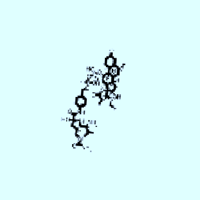 CCC(=O)O[C@]1(C(=O)SCF)[C@H](O)C[C@H]2[C@@H]3C[C@H](F)C4=CC(=O)C=C[C@]4(C)[C@@]3(F)[C@@H](OP(=O)(O)OP(=O)(O)OCc3ccc(NC(=O)[C@@](O)(CCCNC(N)=O)NC(=O)[C@@H](N)C(C)C)cc3)C[C@@]21C